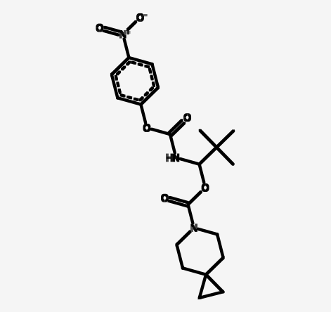 CC(C)(C)C(NC(=O)Oc1ccc([N+](=O)[O-])cc1)OC(=O)N1CCC2(CC1)CC2